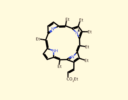 CCOC(=O)C=CC1=C(CC)c2nc1c(CC)c1ccc([nH]1)c(CC)c1nc(c(CC)c3c(CC)c(CC)c(c2CC)n3CC)C=C1